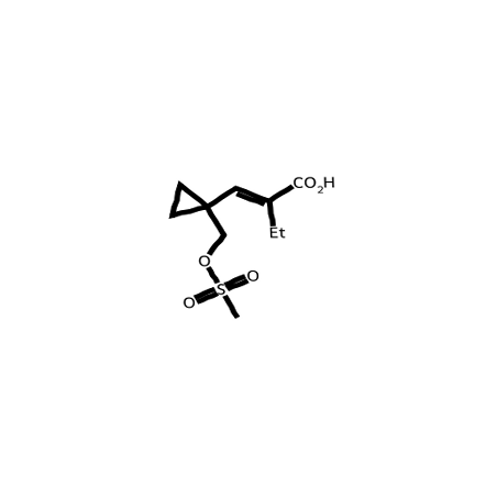 CC/C(=C\C1(COS(C)(=O)=O)CC1)C(=O)O